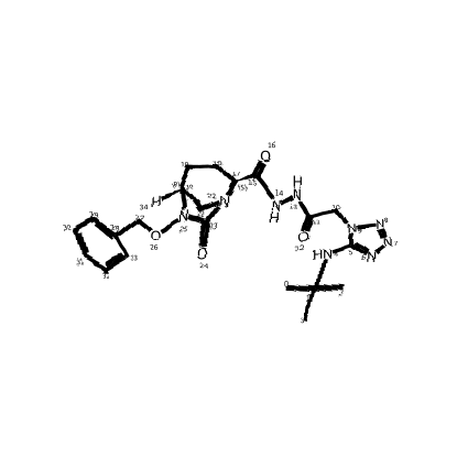 CC(C)(C)Nc1nnnn1CC(=O)NNC(=O)[C@@H]1CC[C@@H]2CN1C(=O)N2OCc1ccccc1